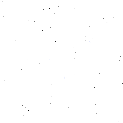 c1ccc(-c2ccc(N(c3ccc(-c4ccccc4)cc3)c3ccc4c5c3ccc3c(-c6ccc(N(c7ccccc7)c7ccccc7)cc6)ccc(c35)n4-c3ccccc3)cc2)cc1